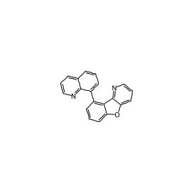 c1cnc2c(-c3cccc4oc5cccnc5c34)cccc2c1